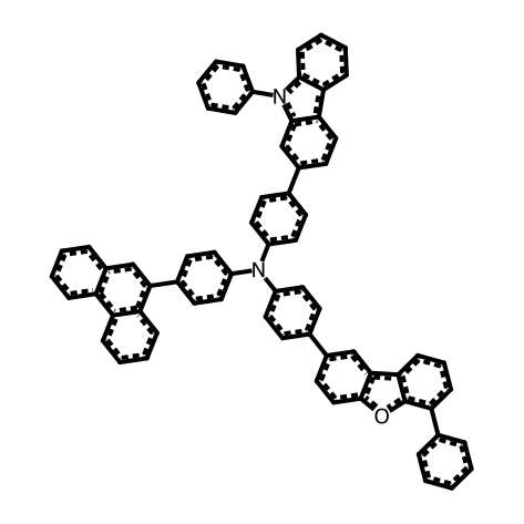 c1ccc(-c2cccc3c2oc2ccc(-c4ccc(N(c5ccc(-c6ccc7c8ccccc8n(-c8ccccc8)c7c6)cc5)c5ccc(-c6cc7ccccc7c7ccccc67)cc5)cc4)cc23)cc1